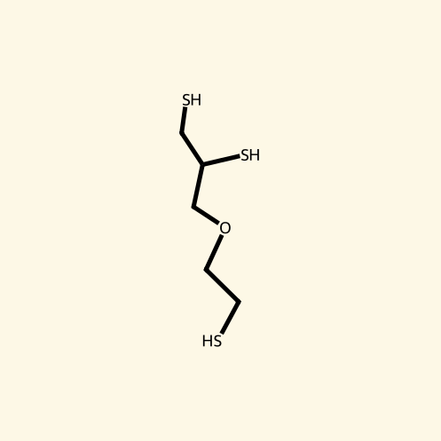 SCCOCC(S)CS